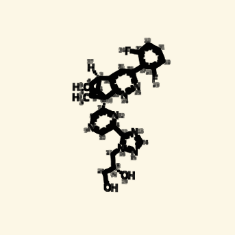 CC1(C)[C@H]2CC[C@]1(c1cncc(-c3ncnn3C[C@H](O)CO)n1)c1nnc(-c3c(F)cccc3F)cc12